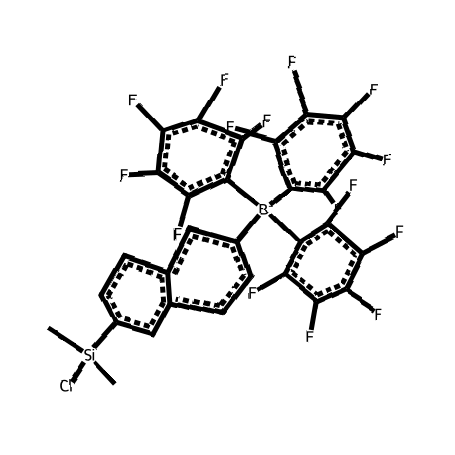 C[Si](C)(Cl)c1ccc2cc([B-](c3c(F)c(F)c(F)c(F)c3F)(c3c(F)c(F)c(F)c(F)c3F)c3c(F)c(F)c(F)c(F)c3F)ccc2c1